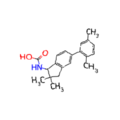 Cc1ccc(C)c(-c2ccc3c(c2)CC(C)(C)C3NC(=O)O)c1